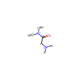 [CH2]C[CH]N([CH]C[CH2])C(=O)CN(C)C